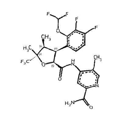 Cc1cnc(C(N)=O)cc1NC(=O)[C@H]1O[C@](C)(C(F)(F)F)[C@@H](C)[C@H]1c1ccc(F)c(F)c1OC(F)F